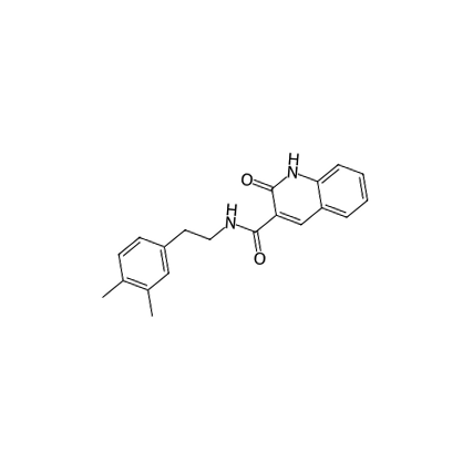 Cc1ccc(CCNC(=O)c2cc3ccccc3[nH]c2=O)cc1C